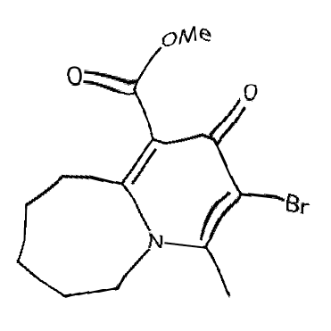 COC(=O)c1c2n(c(C)c(Br)c1=O)CCCCC2